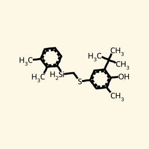 Cc1cccc([SiH2]CSc2cc(C)c(O)c(C(C)(C)C)c2)c1C